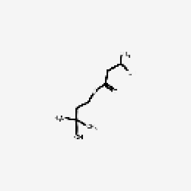 CC(O)CC(=O)OCCC(C)(C)O